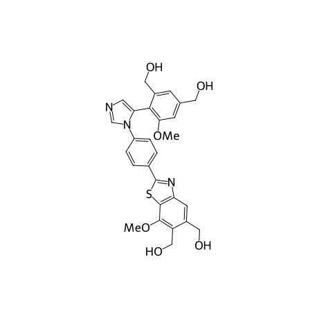 COc1cc(CO)cc(CO)c1-c1cncn1-c1ccc(-c2nc3cc(CO)c(CO)c(OC)c3s2)cc1